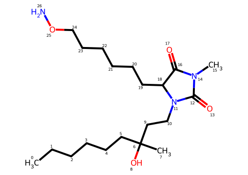 CCCCCCC(C)(O)CCN1C(=O)N(C)C(=O)C1CCCCCCON